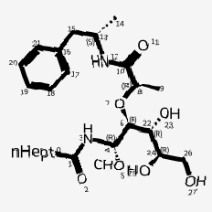 CCCCCCCC(=O)N[C@@H](C=O)[C@@H](O[C@H](C)C(=O)N[C@@H](C)Cc1ccccc1)[C@H](O)[C@H](O)CO